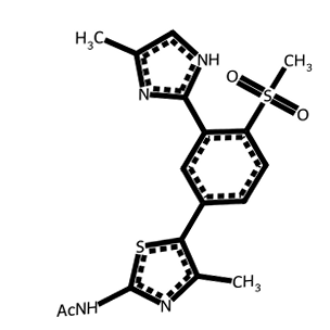 CC(=O)Nc1nc(C)c(-c2ccc(S(C)(=O)=O)c(-c3nc(C)c[nH]3)c2)s1